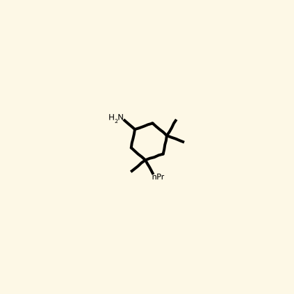 CCCC1(C)CC(N)CC(C)(C)C1